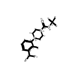 Cc1c(C(F)F)cccc1N1CCN(C(=O)OC(C)(C)C)CC1